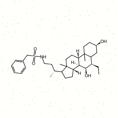 CC[C@@H]1C2C[C@H](O)CCC2(C)[C@H]2CCC3(C)C([C@H](C)CCNS(=O)(=O)Cc4ccccc4)CC[C@H]3[C@@H]2[C@@H]1O